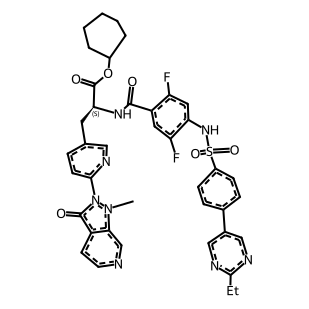 CCc1ncc(-c2ccc(S(=O)(=O)Nc3cc(F)c(C(=O)N[C@@H](Cc4ccc(-n5c(=O)c6ccncc6n5C)nc4)C(=O)OC4CCCCC4)cc3F)cc2)cn1